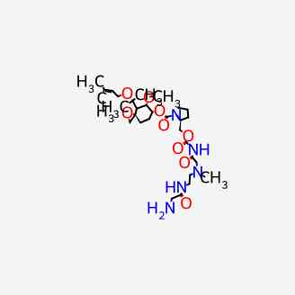 COC1C(OC(=O)N2CCC[C@H]2COC(=O)NC(=O)CN(C)CCNC(=O)CN)CC[C@]2(CO2)C1C(C)(C)OCC=C(C)C